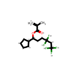 C=C(C)C(=O)OC(CCC(F)(F)CC(F)(F)F)C1CCCC1